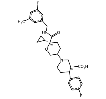 Cc1cc(F)cc(CNC(=O)[C@@]2(C3CC3)CCC(N3CCC(c4ccc(F)cc4)[C@H](C(=O)O)C3)CO2)c1